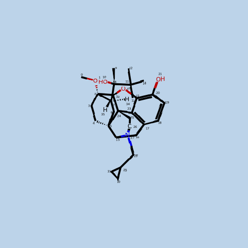 CO[C@@]12CC[C@@]3(C[C@@H]1[C@](C)(O)C(C)(C)C)C1Cc4ccc(O)c5c4[C@@]3(CCN1CC1CC1)[C@H]2O5